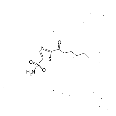 CCCCCC(=O)c1ncc(S(N)(=O)=O)s1